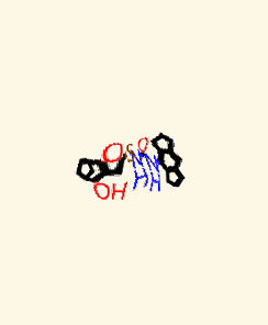 O=C(NSc1cc2c(o1)C1CCC(C1)C2O)Nc1c2c(cc3c1CCC3)CCC2